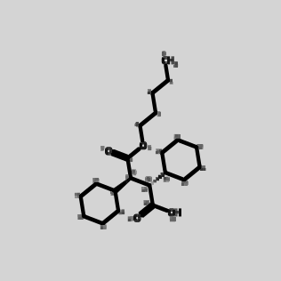 CCCCCOC(=O)[C@H](C1CCCCC1)[C@@H](C(=O)O)C1CCCCC1